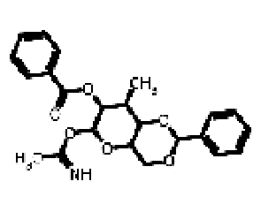 CC(=N)OC1OC2COC(c3ccccc3)OC2C(C)C1OC(=O)c1ccccc1